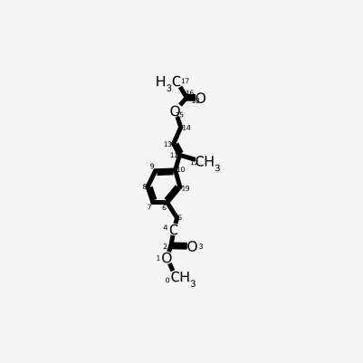 COC(=O)CCc1cccc(C(C)=CCOC(C)=O)c1